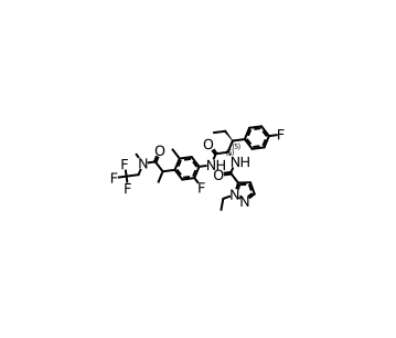 CC[C@@H](c1ccc(F)cc1)[C@H](NC(=O)c1ccnn1CC)C(=O)Nc1cc(C)c(C(C)C(=O)N(C)CC(F)(F)F)cc1F